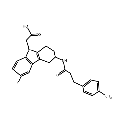 Cc1ccc(CCC(=O)NC2CCc3c(c4cc(F)ccc4n3CC(=O)O)C2)cc1